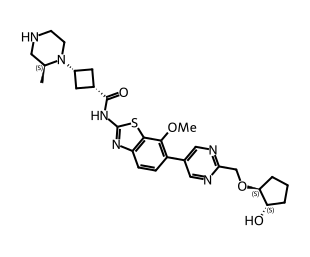 COc1c(-c2cnc(CO[C@H]3CCC[C@@H]3O)nc2)ccc2nc(NC(=O)[C@H]3C[C@@H](N4CCNC[C@@H]4C)C3)sc12